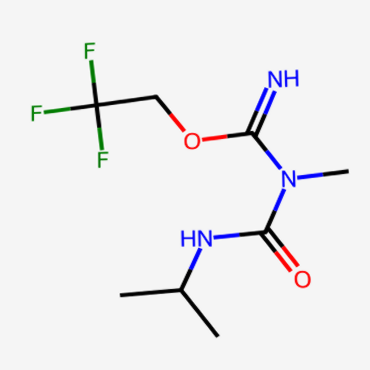 CC(C)NC(=O)N(C)C(=N)OCC(F)(F)F